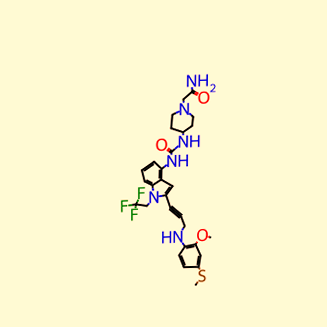 COc1cc(SC)ccc1NCC#Cc1cc2c(NC(=O)NC3CCN(CC(N)=O)CC3)cccc2n1CC(F)(F)F